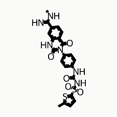 CNC(=N)c1ccc2c(=O)n(-c3ccc(NC(=O)NS(=O)(=O)c4ccc(C)s4)cc3)c(=O)[nH]c2c1